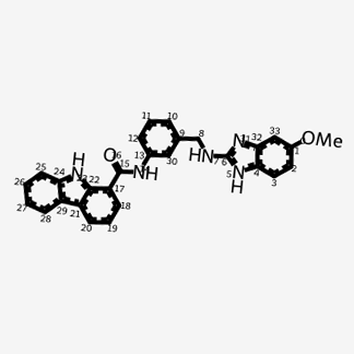 COc1ccc2[nH]c(NCc3cccc(NC(=O)c4cccc5c4[nH]c4ccccc45)c3)nc2c1